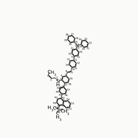 C/C=C\C[SiH2]c1cc(/C=C/c2ccc(-c3ccc(N(c4ccccc4)c4ccccc4)cc3)cc2)ccc1-c1ccc(-c2ccc([Si](C)(C)C)c3ccccc23)cc1